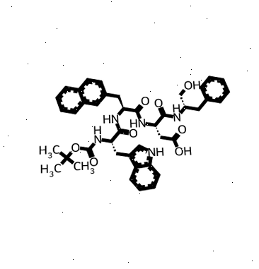 CC(C)(C)OC(=O)N[C@@H](Cc1c[nH]c2ccccc12)C(=O)N[C@@H](Cc1ccc2ccccc2c1)C(=O)N[C@@H](CC(=O)O)C(=O)N[C@H](CO)Cc1ccccc1